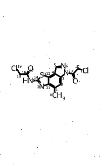 Cc1cc2c(cnn2C(=O)CCl)c2sc(NC(=O)CCl)nc12